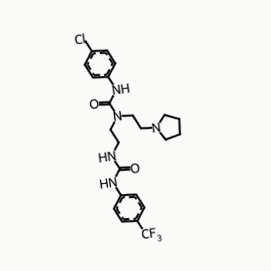 O=C(NCCN(CCN1CCCC1)C(=O)Nc1ccc(Cl)cc1)Nc1ccc(C(F)(F)F)cc1